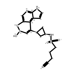 N#CCCCS(=O)(=O)N[C@H]1C[C@@H](C2=CB(O)Oc3cnc4[nH]ccc4c32)C1